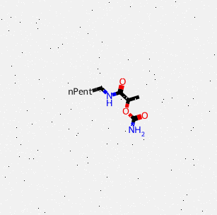 CCCCCCNC(=O)C(C)OC(N)=O